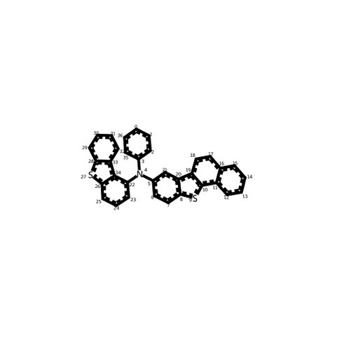 c1ccc(N(c2ccc3sc4c5ccccc5ccc4c3c2)c2cccc3sc4ccccc4c23)cc1